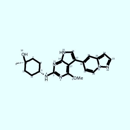 COc1nc(N[C@H]2CC[C@](C)(O)CC2)nc2[nH]cc(-c3ccn4nccc4c3)c12